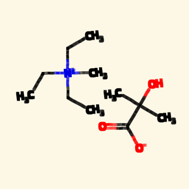 CC(C)(O)C(=O)[O-].CC[N+](C)(CC)CC